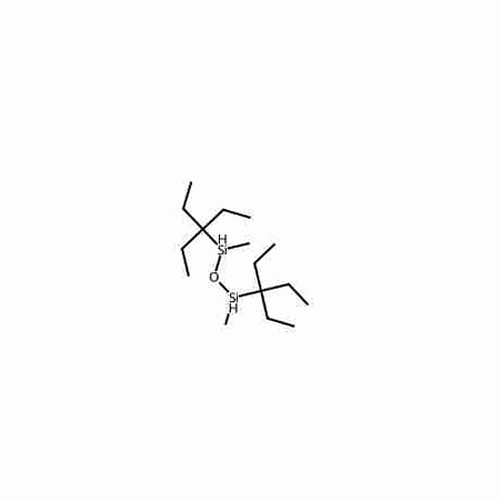 CCC(CC)(CC)[SiH](C)O[SiH](C)C(CC)(CC)CC